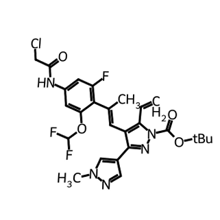 C=Cc1c(/C=C(\C)c2c(F)cc(NC(=O)CCl)cc2OC(F)F)c(-c2cnn(C)c2)nn1C(=O)OC(C)(C)C